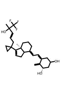 C=C1/C(=C\C=C2/CCC[C@]3(C)C(C4(C/C=C/C(C)(O)C(F)(F)F)CC4)=CCC23)CC(O)C[C@@H]1O